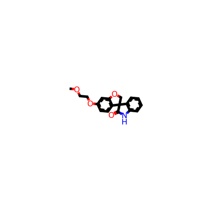 COCCOc1ccc2c(c1)OCC21C(=O)Nc2ccccc21